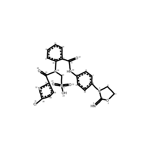 N=C1OCCN1c1ccc(NC(=O)c2ccccc2N(CS(=O)(=O)O)C(=O)c2ccc(Cl)s2)cc1